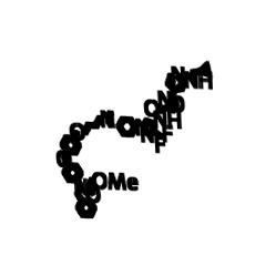 COCC(=O)N(Cc1ccccc1)c1ccc(Oc2ccc(OCCCCN(C)C[C@H]3CC[C@H](n4cc(NC(=O)c5coc(-c6ccnc(NCC7CC7)c6)n5)c(C(F)F)n4)CC3)cc2)cc1